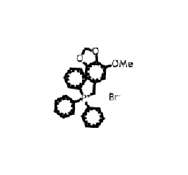 COc1cc(C[P+](c2ccccc2)(c2ccccc2)c2ccccc2)cc2c1OCO2.[Br-]